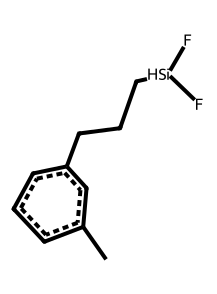 Cc1cccc(CCC[SiH](F)F)c1